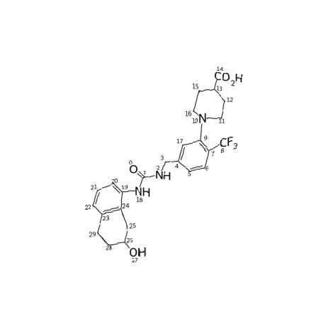 O=C(NCc1ccc(C(F)(F)F)c(N2CCC(C(=O)O)CC2)c1)Nc1cccc2c1CC(O)CC2